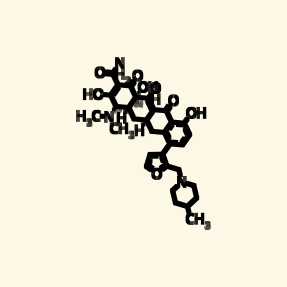 CC1CCN(Cc2occc2-c2ccc(O)c3c2C[C@H]2C[C@H]4[C@H](N(C)C)C(O)=C(C(N)=O)C(=O)[C@@]4(O)C(O)=C2C3=O)CC1